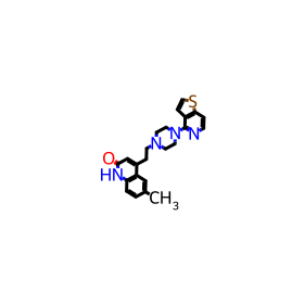 Cc1ccc2[nH]c(=O)cc(CCN3CCN(c4nccc5sccc45)CC3)c2c1